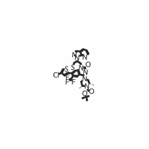 C[C@@H]1CN(c2nc(=O)n3c4c(c(-c5cc(Cl)cs5)c(C(F)(F)F)cc24)SC[C@@H](n2ncc4cccnc42)C3)C[C@H](C)N1C(=O)OC(C)(C)C